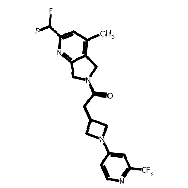 Cc1cc(C(F)F)nc2c1CN(C(=O)CC1CN(c3ccnc(C(F)(F)F)c3)C1)C2